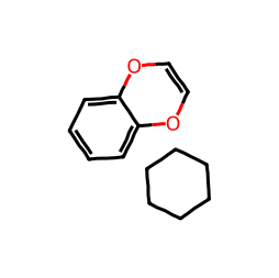 C1=COc2ccccc2O1.C1CCCCC1